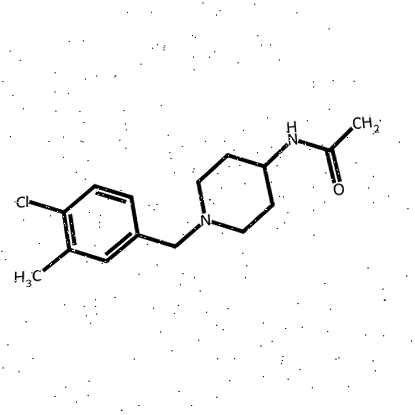 [CH2]C(=O)NC1CCN(Cc2ccc(Cl)c(C)c2)CC1